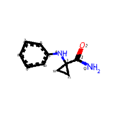 NC(=O)C1(Nc2c[c]ccc2)CC1